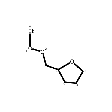 CCOOCC1CCCO1